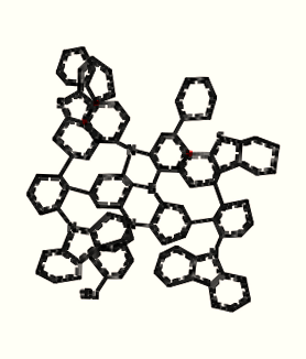 CC(C)(C)c1ccc(N2c3ccc(-c4c(-c5cccc6sc7ccccc7c56)cccc4-n4c5ccccc5c5ccccc54)cc3B3c4ccc(-c5ccccc5)cc4N(c4ccc(-c5ccccc5)cc4)c4cc(-c5c(-c6ccc7c(c6)sc6ccccc67)cccc5-n5c6ccccc6c6ccccc65)cc2c43)cc1